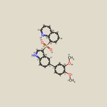 COc1ccc(-c2ccc3[nH]cc(S(=O)(=O)c4cccc5cccnc45)c3c2)cc1OC